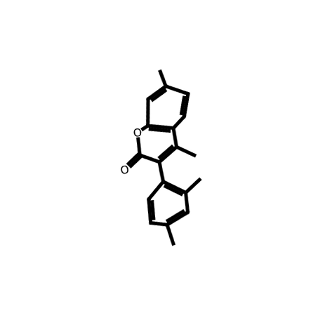 Cc1ccc(-c2c(C)c3ccc(C)cc3oc2=O)c(C)c1